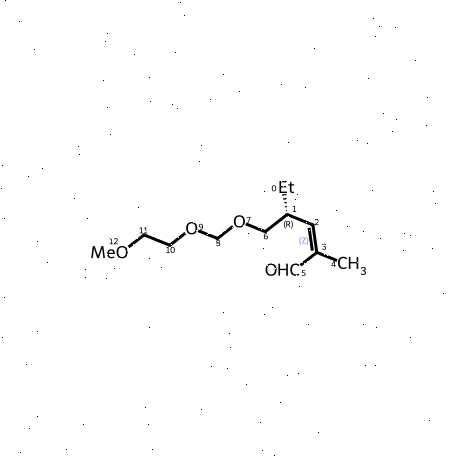 CC[C@H](/C=C(/C)C=O)COCOCCOC